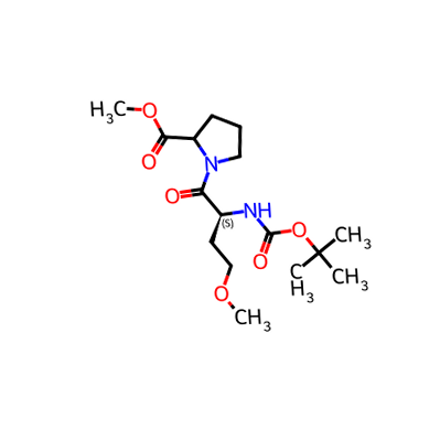 COCC[C@H](NC(=O)OC(C)(C)C)C(=O)N1CCCC1C(=O)OC